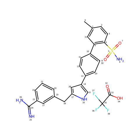 Cc1ccc(S(N)(=O)=O)c(-c2ccc(-c3c[nH]c(Cc4cccc(C(=N)N)c4)c3)cc2)c1.O=C(O)C(F)(F)F